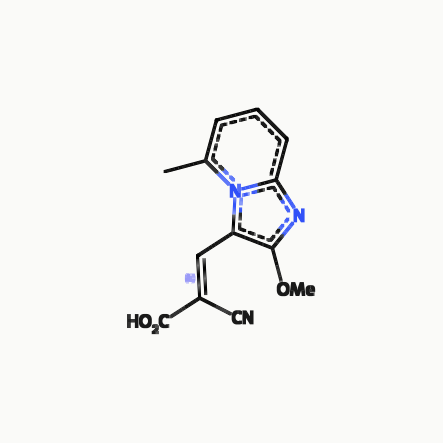 COc1nc2cccc(C)n2c1/C=C(\C#N)C(=O)O